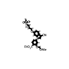 CCOC(=O)c1ccc(-n2cc(C#N)c3ccc(OCCCNS(C)(=O)=O)cc32)cc1OCOC